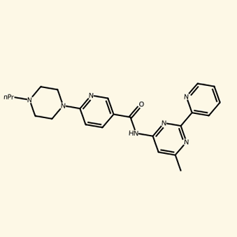 CCCN1CCN(c2ccc(C(=O)Nc3cc(C)nc(-c4ccccn4)n3)cn2)CC1